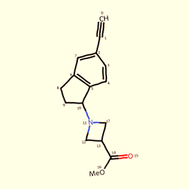 C#Cc1ccc2c(c1)CCC2N1CC(C(=O)OC)C1